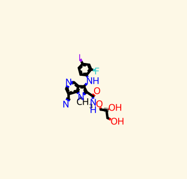 Cn1c(C(=O)NOC[C@H](O)CO)c(Nc2ccc(I)cc2F)c2cncc(C#N)c21